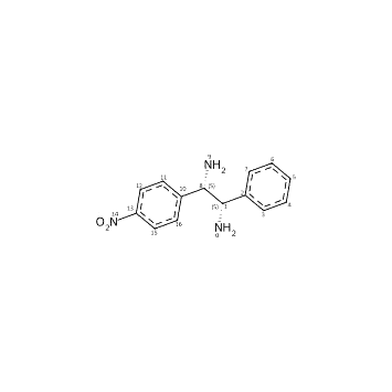 N[C@@H](c1ccccc1)[C@@H](N)c1ccc([N+](=O)[O-])cc1